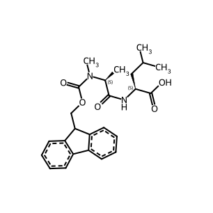 CC(C)C[C@H](NC(=O)[C@H](C)N(C)C(=O)OCC1c2ccccc2-c2ccccc21)C(=O)O